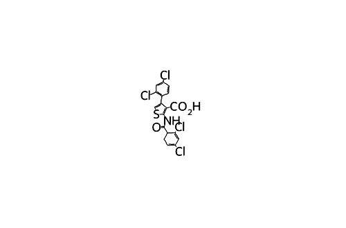 O=C(O)c1c(-c2ccc(Cl)cc2Cl)csc1NC(=O)C1CC=C(Cl)C=C1Cl